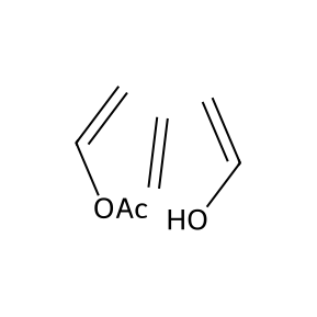 C=C.C=CO.C=COC(C)=O